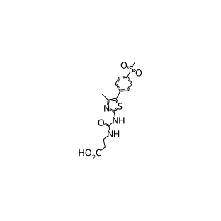 Cc1nc(NC(=O)NCCC(=O)O)sc1-c1ccc(S(C)(=O)=O)cc1